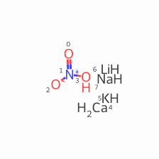 O=[N+]([O-])O.[CaH2].[KH].[LiH].[NaH]